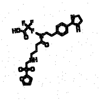 CN(CCc1ccc(C2=NCCN2)cc1)C(=O)CCCNCS(=O)(=O)c1ccco1.O=C(O)C(F)(F)F